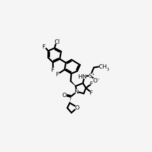 CC[S+]([O-])NC1[C@H](Cc2cccc(-c3cc(Cl)c(F)cc3F)c2F)N(C(=O)[C@H]2CCO2)CC1(F)F